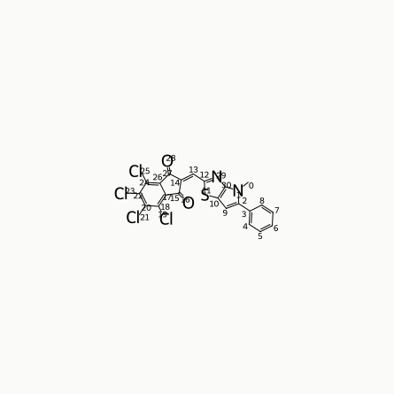 Cn1c(-c2ccccc2)cc2sc(C=C3C(=O)c4c(Cl)c(Cl)c(Cl)c(Cl)c4C3=O)nc21